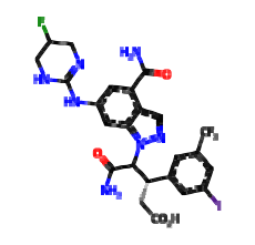 NC(=O)c1cc(NC2=NCC(F)CN2)cc2c1cnn2C(C(N)=O)[C@@H](CC(=O)O)c1cc(I)cc(C(F)(F)F)c1